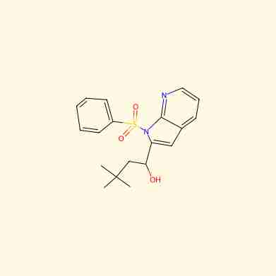 CC(C)(C)CC(O)c1cc2cccnc2n1S(=O)(=O)c1ccccc1